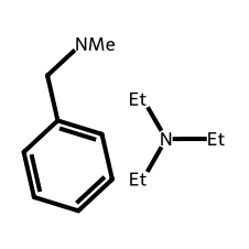 CCN(CC)CC.CNCc1ccccc1